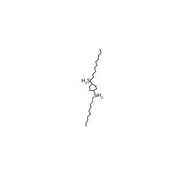 CCCCCCCCCC[SiH2]C1[CH]CC([SiH2]CCCCCCCCCC)[CH]C1